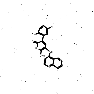 COc1[nH]c(=O)c(-c2cc(Cl)ccc2F)cc1Nc1ccnc2ccncc12